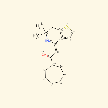 CC1(C)Cc2sccc2/C(=C/C(=O)C2CCCCCC2)N1